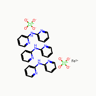 [Fe+2].[O-][Cl+3]([O-])([O-])[O-].[O-][Cl+3]([O-])([O-])[O-].c1ccc(Nc2ccccn2)nc1.c1ccc(Nc2ccccn2)nc1.c1ccc(Nc2ccccn2)nc1